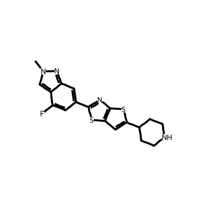 Cn1cc2c(F)cc(-c3nc4sc(C5CCNCC5)cc4s3)cc2n1